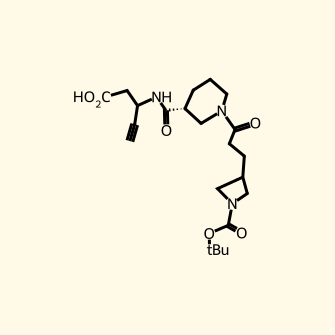 C#CC(CC(=O)O)NC(=O)[C@@H]1CCCN(C(=O)CCC2CN(C(=O)OC(C)(C)C)C2)C1